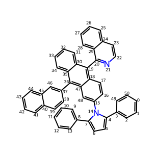 c1ccc(-c2ccc(-c3ccccc3)n2-c2ccc3c(-c4nccc5ccccc45)c4ccccc4c(-c4ccc5ccccc5c4)c3c2)cc1